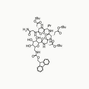 CC(C)[C@H](NC(=O)[C@H](CCC(=O)OC(C)(C)C)NC(=O)[C@H](CC(=O)OC(C)(C)C)NC(=O)C1OC(CNC(=O)OCC2c3ccccc3-c3ccccc32)C(O)C(O)C1O)C(=O)N[C@@H](CC(=O)OC(C)(C)C)C(=O)NCC(N)=O